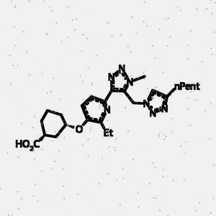 CCCCCc1cn(Cc2c(-c3ccc(O[C@H]4CCC[C@H](C(=O)O)C4)c(CC)n3)nnn2C)nn1